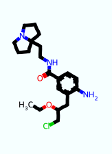 CCOC(CCl)Cc1cc(C(=O)NCCC23CCCN2CCC3)ccc1N